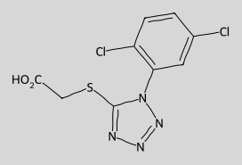 O=C(O)CSc1nnnn1-c1cc(Cl)ccc1Cl